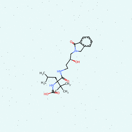 CC(C)C[C@@](NC(=O)O)(C(=O)NCC[C@H](O)CN1Cc2ccccc2C1=O)C(C)(C)C